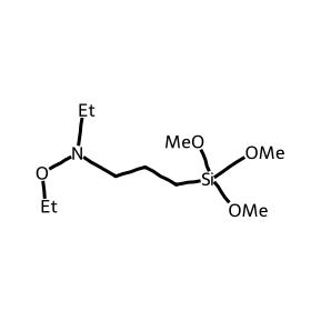 CCON(CC)CCC[Si](OC)(OC)OC